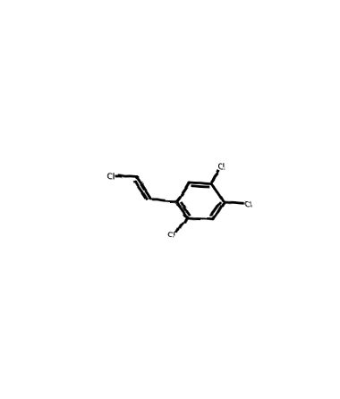 ClC=Cc1cc(Cl)c(Cl)cc1Cl